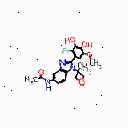 COc1cc(-c2nc3cc(NC(C)=O)ccc3n2C2(C)COC2)c(F)c(O)c1O